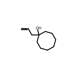 C=CCC1(O)CCCCCCC1